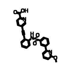 COc1cccc(-c2cccc(S(=O)(=O)Nc3ccccc3C#Cc3ccc(C(=O)O)nc3)c2)n1